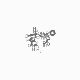 CC(C)OC(=O)C(C)NP(=O)(OC[C@H](O)O[C@@H](n1cc(F)c2c(=O)[nH]c(N)nc21)C(C)(N)C#CCl)Oc1ccccc1